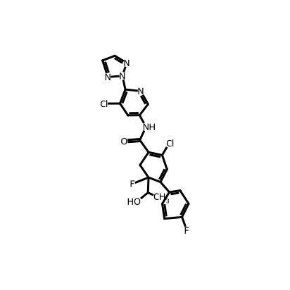 CC(O)C1(F)CC(C(=O)Nc2cnc(-n3nccn3)c(Cl)c2)=C(Cl)C=C1c1ccc(F)cc1